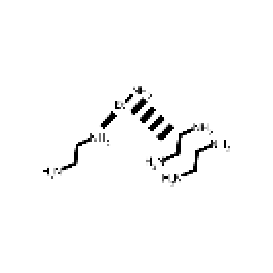 C=C.C=C.C=C.C=C.C=C.NCCN.NCCN.NCCN.[CH2]CN